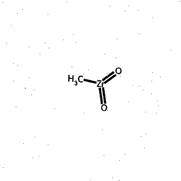 [CH3][Zr](=[O])=[O]